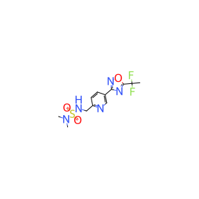 CN(C)S(=O)(=O)NCc1ccc(-c2noc(C(C)(F)F)n2)cn1